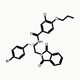 CCCOc1ccc(C(=O)N[C@@H](Cc2ccc(Br)cc2)CN2C(=O)c3ccccc3C2=O)cc1Cl